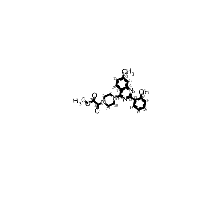 COC(=O)C(=O)N1CCN(c2nc(-c3ccccc3O)nc3cc(C)ccc23)CC1